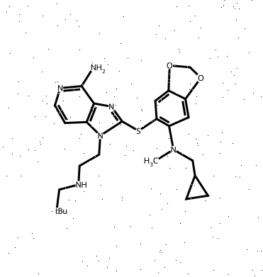 CN(CC1CC1)c1cc2c(cc1Sc1nc3c(N)nccc3n1CCNCC(C)(C)C)OCO2